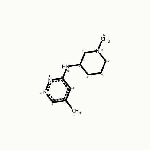 Cc1cnnc(NC2CCCN(C)C2)c1